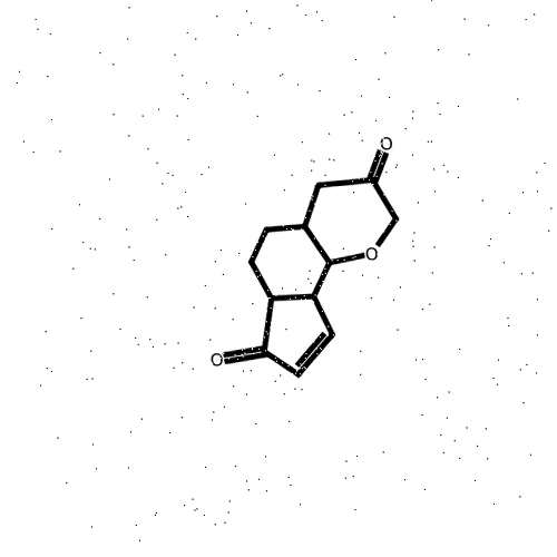 O=C1COC2C(CCC3C(=O)C=CC32)C1